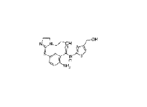 Nc1ccc(Sc2nccn2CCO)cc1C(=O)Nc1nc(CO)cs1